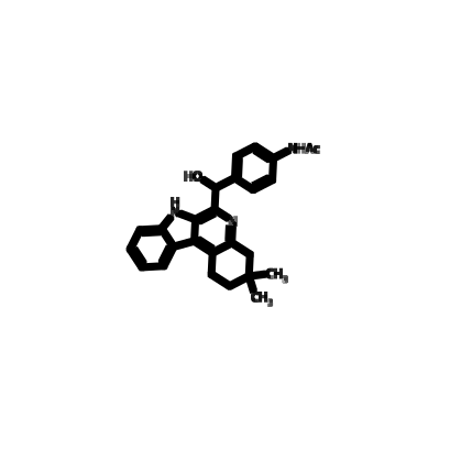 CC(=O)Nc1ccc(C(O)c2nc3c(c4c2[nH]c2ccccc24)CCC(C)(C)C3)cc1